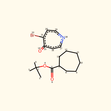 CC(C)(C)OC(=O)C1CCCCCC1.O=c1ccnccc1Br